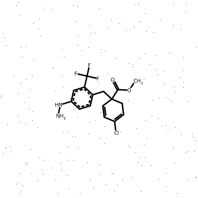 COC(=O)C1(Cc2ccc(NN)cc2C(F)(F)F)C=CC(Cl)=CC1